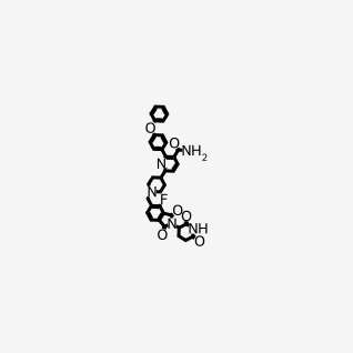 NC(=O)c1ccc(C2CCN(Cc3ccc4c(c3F)C(=O)N(C3CCC(=O)NC3=O)C4=O)CC2)nc1-c1ccc(Oc2ccccc2)cc1